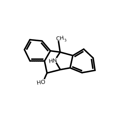 CC12NC(c3ccccc31)C(O)c1ccccc12